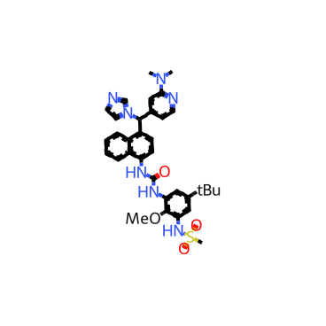 COc1c(NC(=O)Nc2ccc(C(c3ccnc(N(C)C)c3)n3ccnc3)c3ccccc23)cc(C(C)(C)C)cc1NS(C)(=O)=O